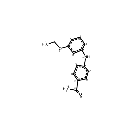 CCOc1cccc(Nc2ccc(C(C)=O)cc2)c1